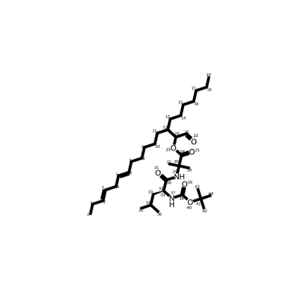 CCC=CCC=CCCCCCC(CCCCCCC)C(C=O)OC(=O)C(C)(C)NC(=O)[C@H](CC(C)C)NC(=O)OC(C)(C)C